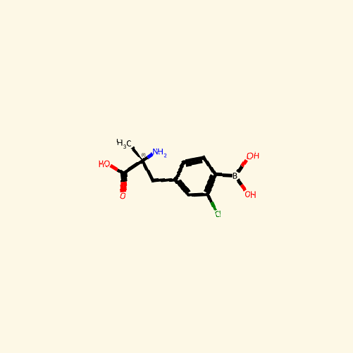 C[C@@](N)(Cc1ccc(B(O)O)c(Cl)c1)C(=O)O